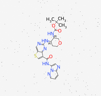 CC(C)(C)OC(=O)N[C@H]1COCC[C@H]1Nc1ncc2scc(C(=O)Nc3cnc4cccnn34)c2n1